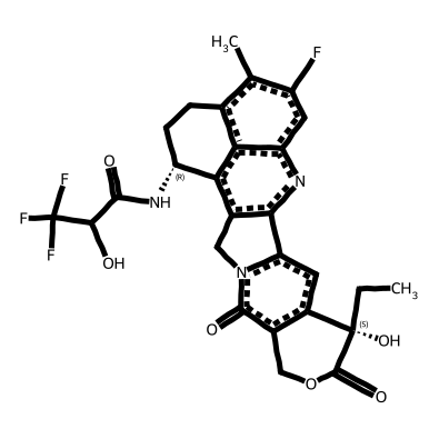 CC[C@@]1(O)C(=O)OCc2c1cc1n(c2=O)Cc2c-1nc1cc(F)c(C)c3c1c2[C@H](NC(=O)C(O)C(F)(F)F)CC3